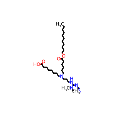 CCCCCCCCCCCOC(=O)CCCCCN(CCCCCCCC(=O)O)CCCN/C(=N/C#N)N(C)C